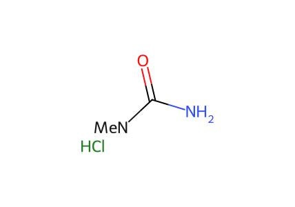 CNC(N)=O.Cl